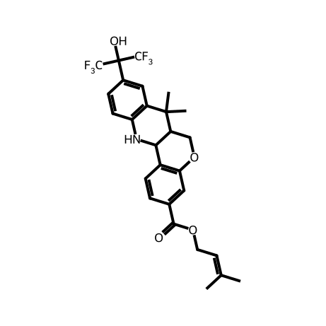 CC(C)=CCOC(=O)c1ccc2c(c1)OCC1C2Nc2ccc(C(O)(C(F)(F)F)C(F)(F)F)cc2C1(C)C